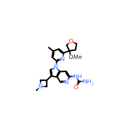 COC1(c2cc(C)cc(-n3cc(C4CN(C)C4)c4cnc(NC(N)=O)cc43)n2)CCOC1